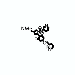 CNCc1cc(-c2ccc(OCc3cccnn3)cc2F)n(S(=O)(=O)c2cccnc2)c1